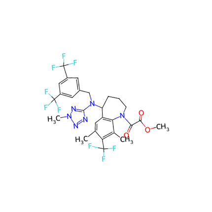 COC(=O)C(=O)N1CCCC(N(Cc2cc(C(F)(F)F)cc(C(F)(F)F)c2)c2nnn(C)n2)c2cc(C)c(C(F)(F)F)c(C)c21